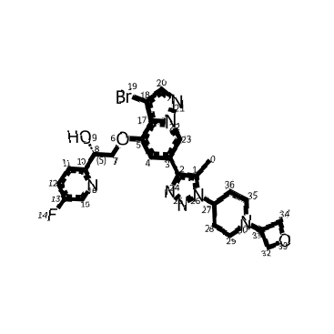 Cc1c(-c2cc(OC[C@@H](O)c3ccc(F)cn3)c3c(Br)cnn3c2)nnn1C1CCN(C2COC2)CC1